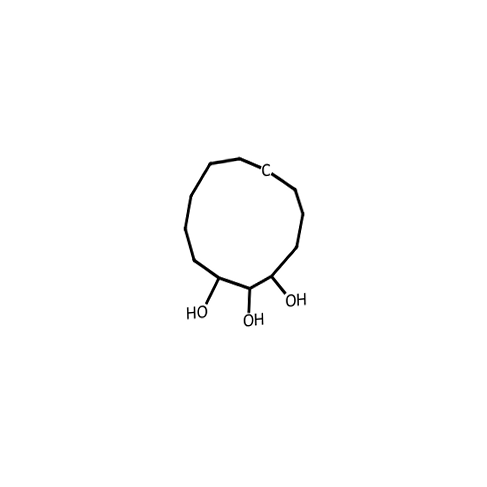 OC1CCCCCCCCCC(O)C1O